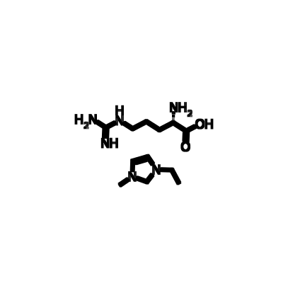 CCN1C=CN(C)C1.N=C(N)NCCC[C@H](N)C(=O)O